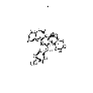 O=c1c2ccc3ccccc3c2nc(Cc2ccc(Cl)nc2)n1[C@H]1CCOC[C@@H]1O